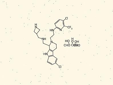 FC(F)(F)c1nc(NCCN2CCc3c([nH]c4ccc(Cl)cc34)C2CNCC2CNC2)ccc1Cl.O=CO.O=CO.O=CO